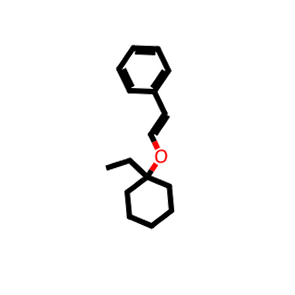 CCC1(OC=Cc2ccccc2)CCCCC1